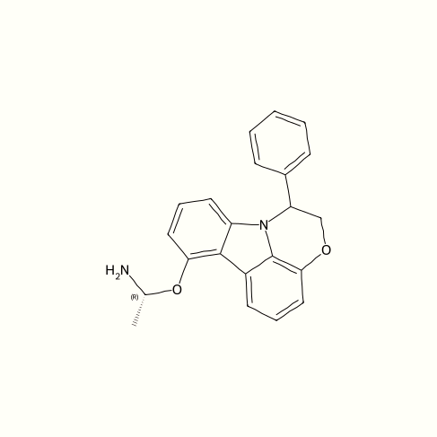 C[C@H](N)Oc1cccc2c1c1cccc3c1n2C(c1ccccc1)CO3